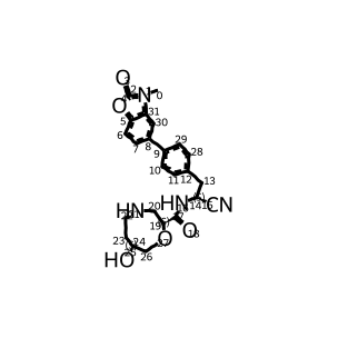 Cn1c(=O)oc2ccc(-c3ccc(C[C@@H](C#N)NC(=O)[C@@H]4CNCC[C@H](O)CO4)cc3)cc21